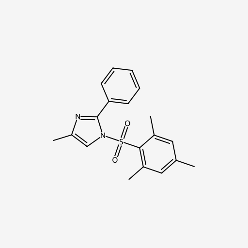 Cc1cc(C)c(S(=O)(=O)n2cc(C)nc2-c2ccccc2)c(C)c1